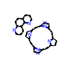 C1=Cc2cc3ccc(cc4nc(cc5ccc(cc1n2)[nH]5)C=C4)[nH]3.c1cnc2c(c1)ccc1ncccc12